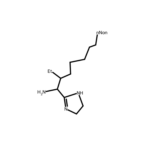 CCCCCCCCCCCCCCC(CC)C(N)C1=NCCN1